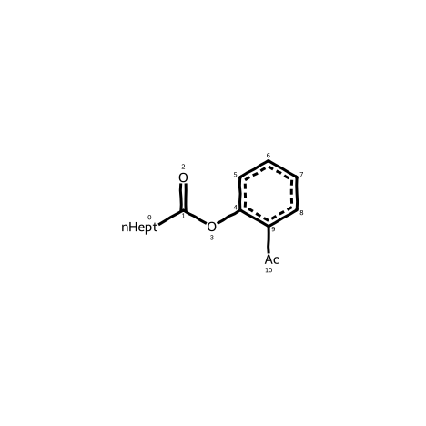 CCCCCCCC(=O)Oc1ccccc1C(C)=O